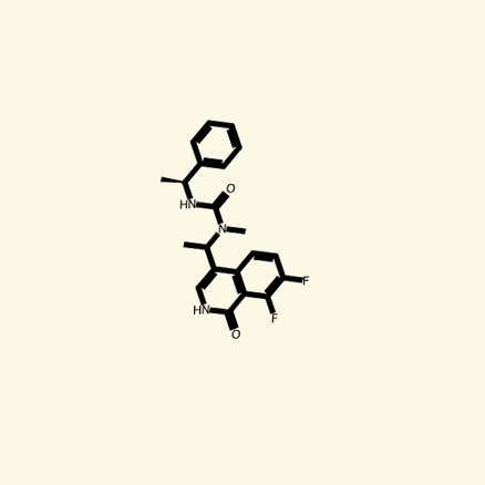 CC(c1c[nH]c(=O)c2c(F)c(F)ccc12)N(C)C(=O)N[C@@H](C)c1ccccc1